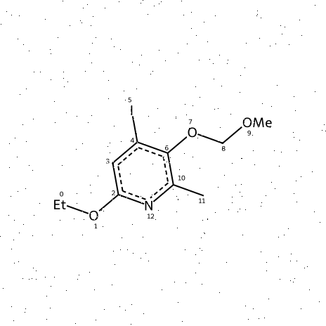 CCOc1cc(I)c(OCOC)c(C)n1